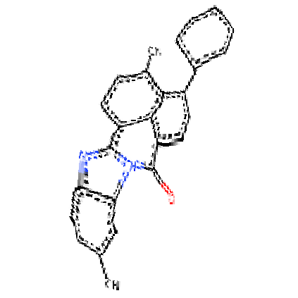 N#Cc1ccc2nc3c4ccc(C#N)c5c(-c6ccccc6)ccc(c(=O)n3c2c1)c54